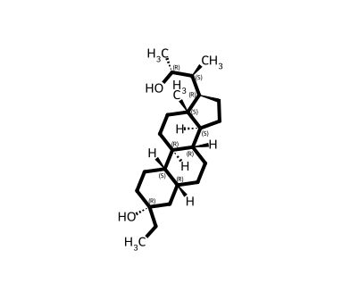 CC[C@@]1(O)CC[C@H]2[C@H](CC[C@@H]3[C@@H]2CC[C@]2(C)[C@@H]([C@H](C)[C@@H](C)O)CC[C@@H]32)C1